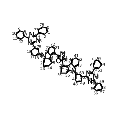 c1ccc(-c2nc(-c3ccccc3)nc(-c3cccc(-n4c5ccccc5c5c(-c6nnc(-c7cccc8c7c7ccccc7n8-c7cccc(-c8nc(-c9ccccc9)nc(-c9ccccc9)n8)c7)o6)cccc54)c3)n2)cc1